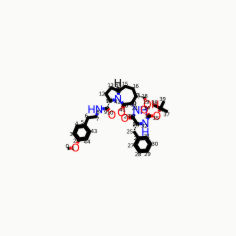 COc1ccc(CCNC(=O)[C@@H]2CC[C@@H]3CC[C@H](CO)[C@H](NC(=O)[C@@H](Cc4ccccc4)NC(=O)OC(C)(C)C)C(=O)N32)cc1